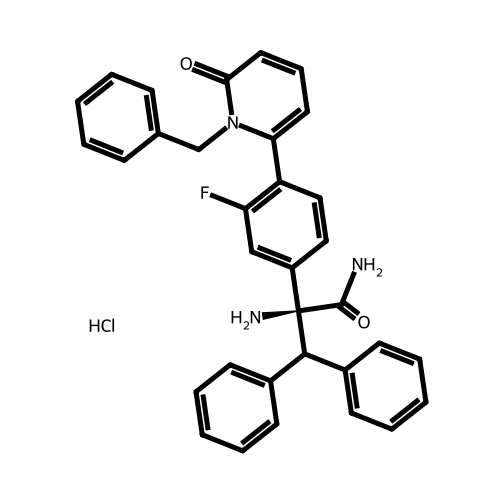 Cl.NC(=O)[C@@](N)(c1ccc(-c2cccc(=O)n2Cc2ccccc2)c(F)c1)C(c1ccccc1)c1ccccc1